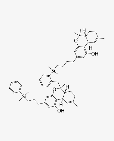 CC1=C[C@H]2c3c(O)cc(CCCC[Si](C)(C)c4ccccc4CC4(C)Oc5cc(CCC[Si](C)(C)c6ccccc6)cc(O)c5[C@@H]5C=C(C)CC[C@H]54)cc3OC(C)(C)[C@@H]2CC1